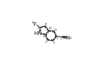 N#Cc1ccc2[nH]c(F)cc2c1